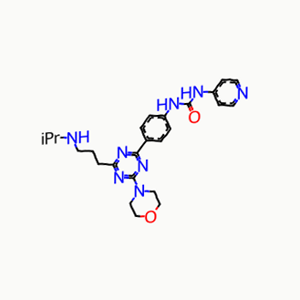 CC(C)NCCCc1nc(-c2ccc(NC(=O)Nc3ccncc3)cc2)nc(N2CCOCC2)n1